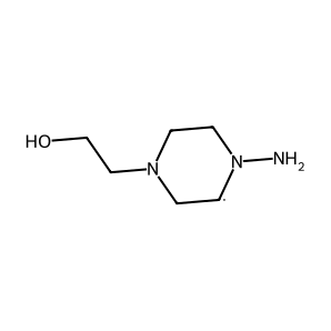 NN1[CH]CN(CCO)CC1